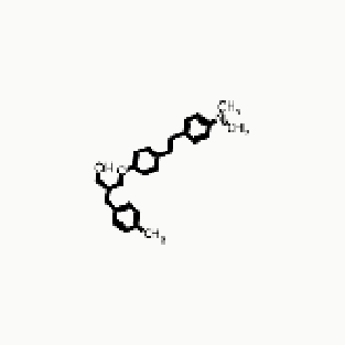 Cc1ccc(CC(CO)COc2ccc(/C=C/c3ccc(N(C)C)cc3)cc2)cc1